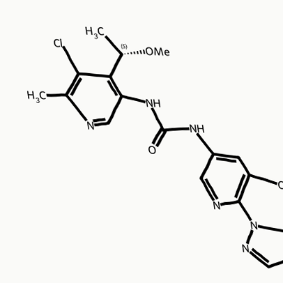 CO[C@@H](C)c1c(NC(=O)Nc2cnc(-n3nccn3)c(C(F)(F)F)c2)cnc(C)c1Cl